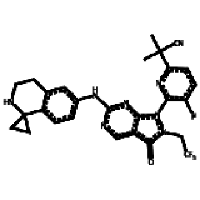 CC(C)(C#N)c1ccc(F)c(-n2c3nc(Nc4ccc5c(c4)CCNC54CC4)ncc3c(=O)n2CC(F)(F)F)n1